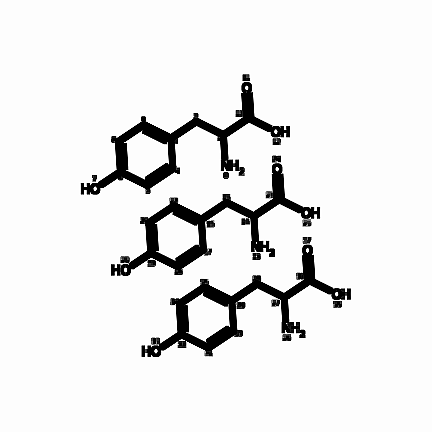 NC(Cc1ccc(O)cc1)C(=O)O.NC(Cc1ccc(O)cc1)C(=O)O.NC(Cc1ccc(O)cc1)C(=O)O